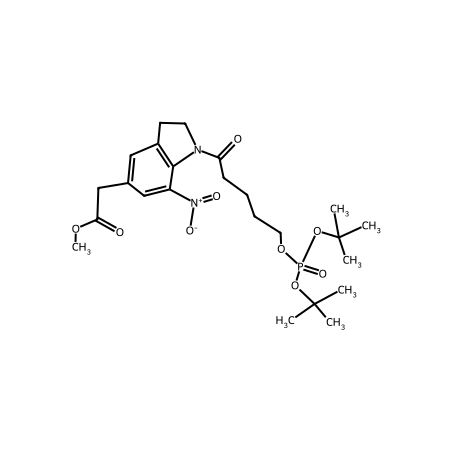 COC(=O)Cc1cc2c(c([N+](=O)[O-])c1)N(C(=O)CCCCOP(=O)(OC(C)(C)C)OC(C)(C)C)CC2